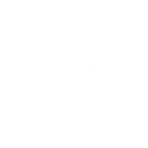 CP(C)(=O)c1ccc(NCC#Cc2sc3c(NC4CCC(N5CCOCC5)CC4)cccc3c2CC(F)(F)F)c(OCC#N)c1